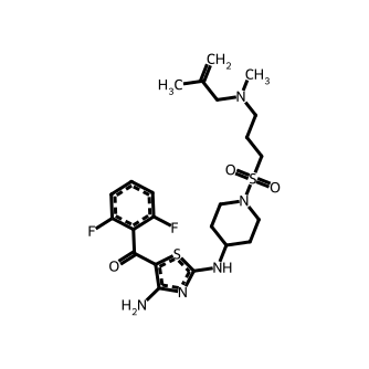 C=C(C)CN(C)CCCS(=O)(=O)N1CCC(Nc2nc(N)c(C(=O)c3c(F)cccc3F)s2)CC1